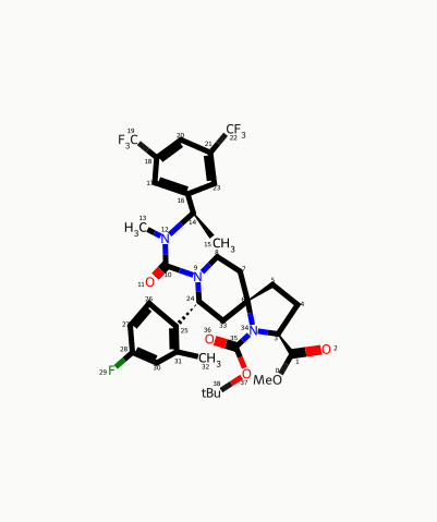 COC(=O)[C@@H]1CC[C@@]2(CCN(C(=O)N(C)[C@H](C)c3cc(C(F)(F)F)cc(C(F)(F)F)c3)[C@@H](c3ccc(F)cc3C)C2)N1C(=O)OC(C)(C)C